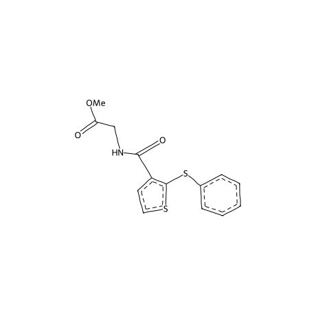 COC(=O)CNC(=O)c1ccsc1Sc1ccccc1